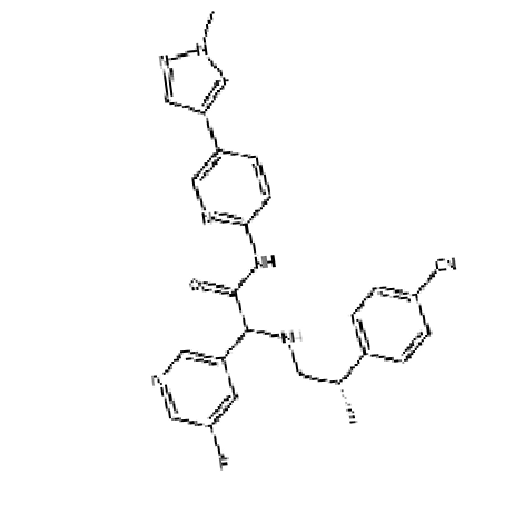 C[C@H](CNC(C(=O)Nc1ccc(-c2cnn(C)c2)cn1)c1cncc(F)c1)c1ccc(C#N)cc1